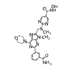 CN(Cc1nc2c(N3CCOCC3)nc(-c3cccc(C(N)=O)c3)nc2n1C)c1ncc(C(=O)NO)cn1